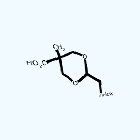 CCCCCCCC1OCC(C)(C(=O)O)CO1